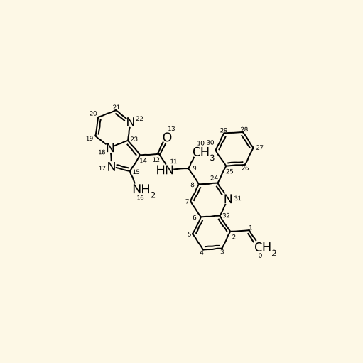 C=Cc1cccc2cc(C(C)NC(=O)c3c(N)nn4cccnc34)c(-c3ccccc3)nc12